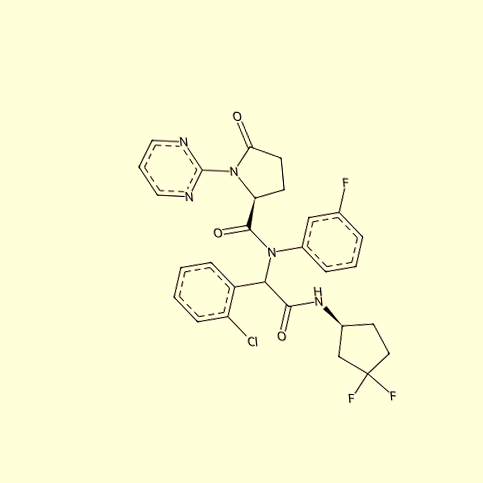 O=C(N[C@H]1CCC(F)(F)C1)C(c1ccccc1Cl)N(C(=O)[C@@H]1CCC(=O)N1c1ncccn1)c1cccc(F)c1